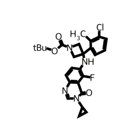 Cc1c(Cl)cccc1C1(Nc2ccc3ncn(C4CC4)c(=O)c3c2F)CN(C(=O)OC(C)(C)C)C1